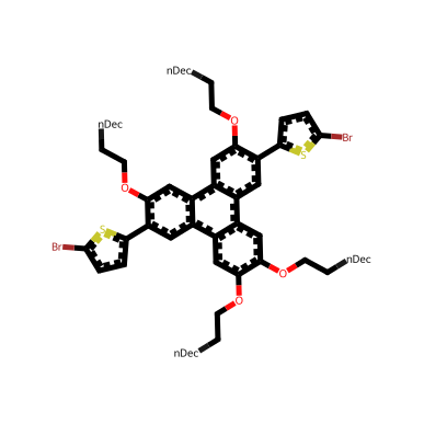 CCCCCCCCCCCCOc1cc2c(cc1OCCCCCCCCCCCC)c1cc(-c3ccc(Br)s3)c(OCCCCCCCCCCCC)cc1c1cc(OCCCCCCCCCCCC)c(-c3ccc(Br)s3)cc21